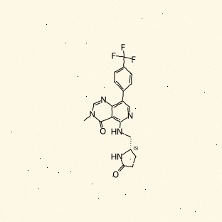 Cn1cnc2c(-c3ccc(C(F)(F)F)cc3)cnc(NC[C@@H]3CCC(=O)N3)c2c1=O